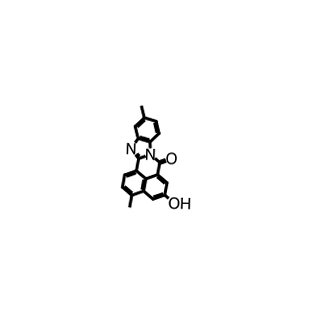 Cc1ccc2c(c1)nc1c3ccc(C)c4cc(O)cc(c(=O)n21)c43